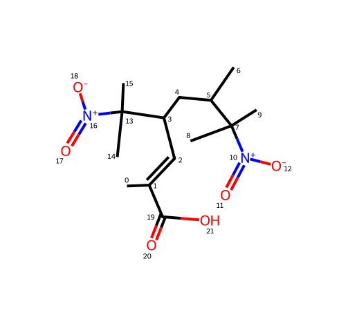 CC(=CC(CC(C)C(C)(C)[N+](=O)[O-])C(C)(C)[N+](=O)[O-])C(=O)O